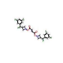 O=C(/C=C/C(=O)ON1CC(C(F)c2cc(F)cc(F)c2)C1)ON1CC(C(F)c2cc(F)cc(F)c2)C1